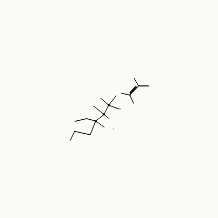 COC(CCl)(CCCl)C(F)(F)C(F)(F)OC(F)=C(F)F